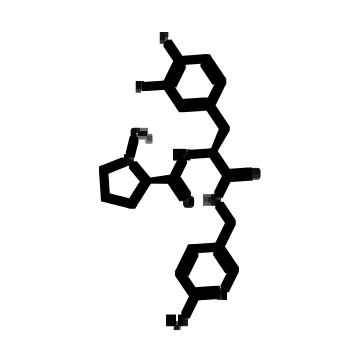 CN1CCC[C@@H]1C(=O)N[C@@H](Cc1ccc(F)c(F)c1)C(=O)NCc1ccc(N)nc1